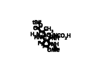 COc1cc(F)c(C(=N)CC(C)C(N)C(=O)OC(C)(C)C)c(C(=O)NNC(=O)O)c1NC1CC1